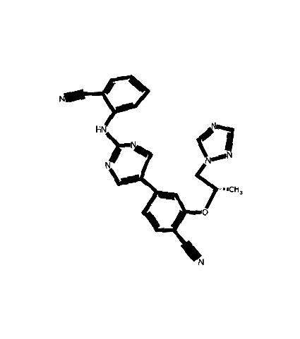 C[C@@H](Cn1cncn1)Oc1cc(-c2cnc(Nc3ccccc3C#N)nc2)ccc1C#N